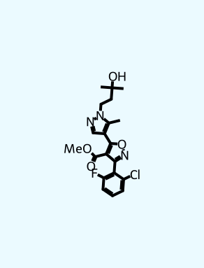 COC(=O)c1c(-c2c(F)cccc2Cl)noc1-c1cnn(CCC(C)(C)O)c1C